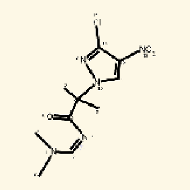 CN(C)/C=N\C(=O)C(C)(C)n1cc([N+](=O)[O-])c(Cl)n1